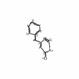 O=C1C=C(Cc2ccccc2)N=CC1